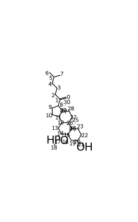 C=C(CCCC(C)C)C1CCC2C3CCC4(OPC)CC(O)CC[C@]4(C)C3CC[C@]12C